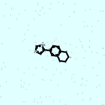 c1ncc(-c2ccc3c(c2)CCCC3)[nH]1